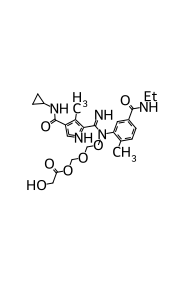 CCNC(=O)c1ccc(C)c(N(OCOCOC(=O)CO)C(=N)c2[nH]cc(C(=O)NC3CC3)c2C)c1